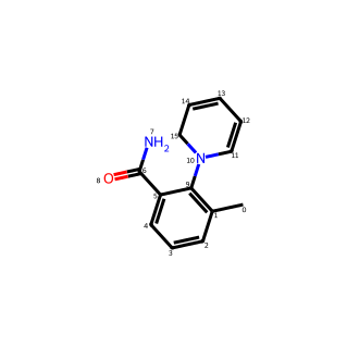 Cc1cccc(C(N)=O)c1N1C=CC=CC1